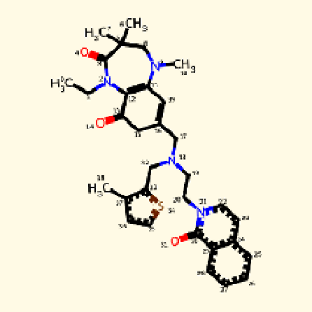 CCN1C(=O)C(C)(C)CN(C)C2=C1C(=O)CC(CN(CCn1ccc3ccccc3c1=O)Cc1sccc1C)=C2